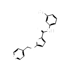 CC(C)c1cccc(NC(=O)c2ccc(SCc3ccncc3)o2)c1